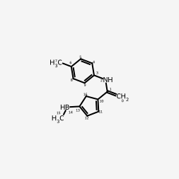 C=C(Nc1ccc(C)cc1)C1=CC=C(BC)C1